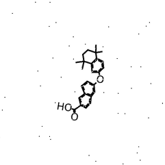 CC1(C)CCC(C)(C)c2cc(Oc3ccc4cc(C(=O)O)ccc4c3)ccc21